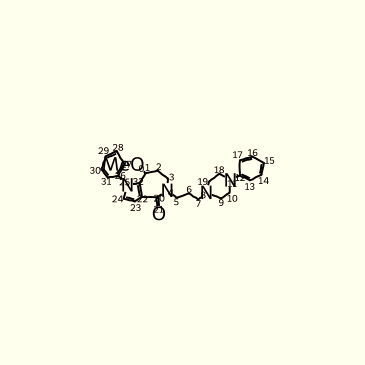 COC1CCN(CCCN2CCN(c3ccccc3)CC2)C(=O)c2ccn(-c3ccccc3)c21